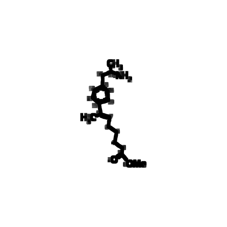 COC(=O)CCCCC=C(C)c1ccc(C[C@@H](C)N)cc1